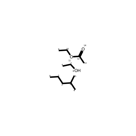 CCCC(C)C.CCO.CCOC(C)=O